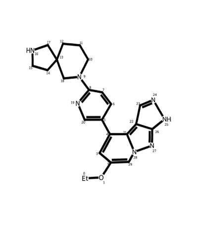 CCOc1cc(-c2ccc(N3CCCC4(CCNC4)C3)nc2)c2c3cn[nH]c3nn2c1